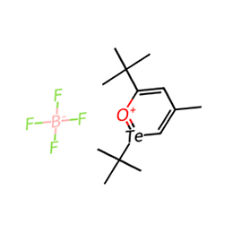 CC1=C[Te](C(C)(C)C)=[O+]C(C(C)(C)C)=C1.F[B-](F)(F)F